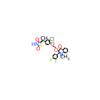 CC(=C1SC(=O)NC1=O)c1ccc(OCCOc2c(-c3ccc(F)c(F)c3)n(C)c3ccccc3c2=O)c(Cl)c1